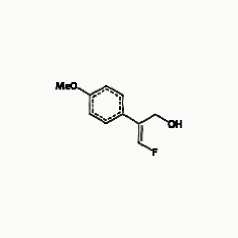 COc1ccc(C(=CF)CO)cc1